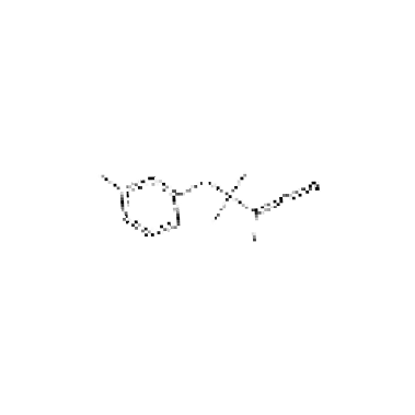 CC(=C=O)C(C)(C)Cc1cccc(C)c1